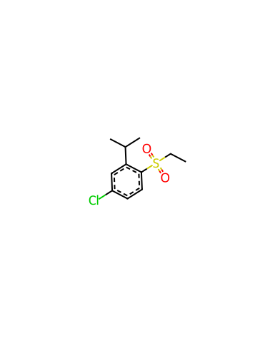 CCS(=O)(=O)c1ccc(Cl)cc1C(C)C